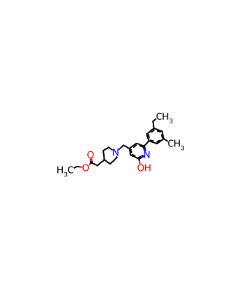 CCOC(=O)CC1CCN(Cc2cc(O)nc(-c3cc(C)cc(CC)c3)c2)CC1